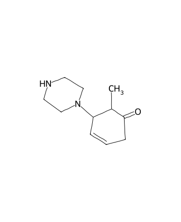 CC1C(=O)CC=CC1N1CCNCC1